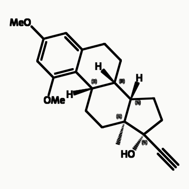 C#C[C@]1(O)CC[C@H]2[C@H]3CCc4cc(OC)cc(OC)c4[C@H]3CC[C@@]21C